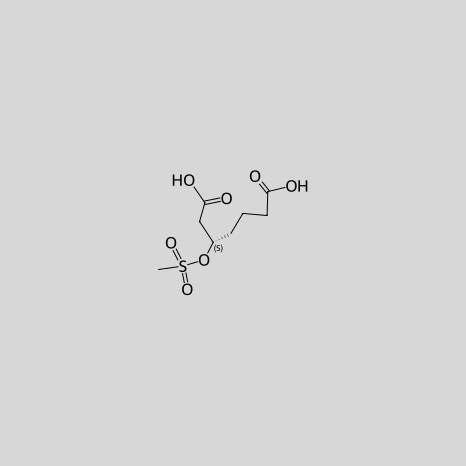 CS(=O)(=O)O[C@@H](CCCC(=O)O)CC(=O)O